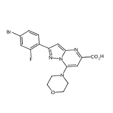 O=C(O)c1cc(N2CCOCC2)n2nc(-c3ccc(Br)cc3F)cc2n1